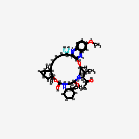 COc1ccc2nc3c(nc2c1)O[C@H]1CN(C(=O)[C@H](C2(C)CCCCC2)NC(=O)O[C@@H]2CC4CC4[C@H]2CCCCC3(F)F)[C@H](C(C)=O)[C@@H]1C